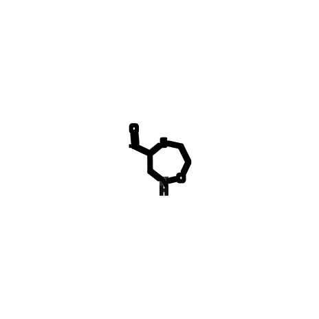 O=[C]C1CNOCCS1